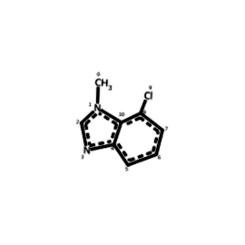 Cn1cnc2cccc(Cl)c21